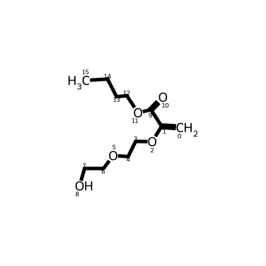 C=C(OCCOCCO)C(=O)OCCCC